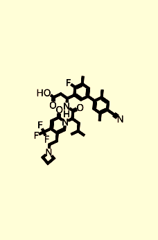 Cc1cc(-c2cc(C)c(F)c(C(CC(=O)O)NC(=O)C(CC(C)C)n3cc(CCN4CCC4)c(C(F)(F)F)cc3=O)c2)c(C)cc1C#N